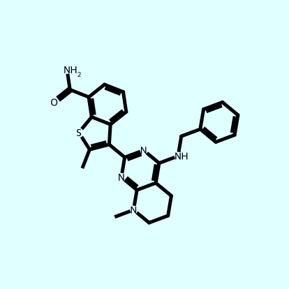 Cc1sc2c(C(N)=O)cccc2c1-c1nc(NCc2ccccc2)c2c(n1)N(C)CCC2